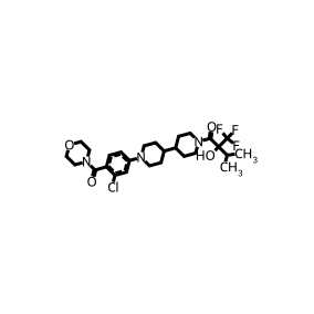 CC(C)C(O)(C(=O)N1CCC(C2CCN(c3ccc(C(=O)N4CCOCC4)c(Cl)c3)CC2)CC1)C(F)(F)F